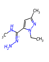 CCn1nc(C)cc1/C(=N/N)NC